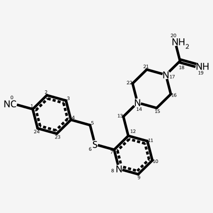 N#Cc1ccc(CSc2ncccc2CN2CCN(C(=N)N)CC2)cc1